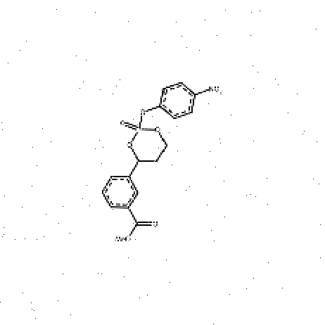 COC(=O)c1cccc(C2CCOP(=O)(Oc3ccc([N+](=O)[O-])cc3)O2)c1